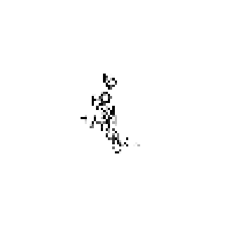 Cc1c(Oc2ccc(-c3cccnc3)cc2F)ncnc1OC1CCN(C(=O)OC(C)C)CC1